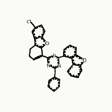 Clc1ccc2oc3c(c2c1)CCC=C3c1nc(-c2ccccc2)nc(-c2cccc3oc4ccccc4c23)n1